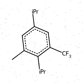 Cc1cc(C(C)C)cc(C(F)(F)F)c1C(C)C